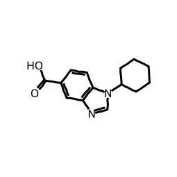 O=C(O)c1ccc2c(c1)ncn2C1CCCCC1